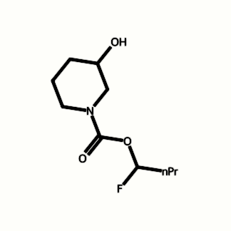 CCCC(F)OC(=O)N1CCCC(O)C1